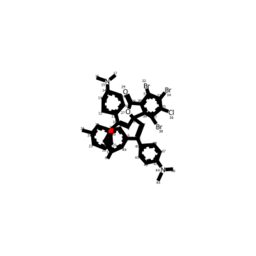 Cc1cccc(C(=CC2(C=C(c3ccc(N(C)C)cc3)c3cccc(C)c3)OC(=O)c3c(Br)c(Br)c(Cl)c(Br)c32)c2ccc(N(C)C)cc2)c1